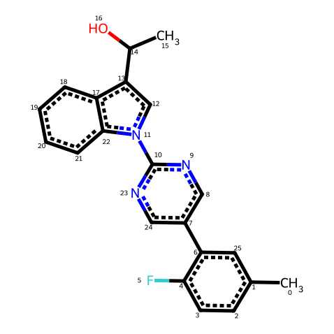 Cc1ccc(F)c(-c2cnc(-n3cc(C(C)O)c4ccccc43)nc2)c1